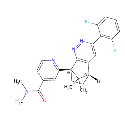 CN(C)C(=O)c1ccnc([C@@]23CC[C@@H](c4cc(-c5c(F)cccc5F)nnc42)C3(C)C)c1